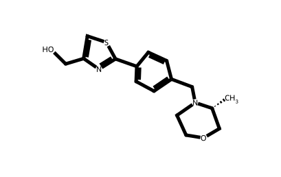 C[C@@H]1COCCN1Cc1ccc(-c2nc(CO)cs2)cc1